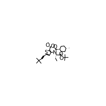 CC[C@@H](C(=O)OC(C)(C)C)N(c1cc(C#CC(C)(C)C)sc1C(=O)OC)C(=O)[C@H]1CC[C@H](C)CC1